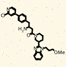 COCCCn1c(C2CCCN(C(=O)CC(N)Cc3ccc(-c4ccnc(Cl)c4)cc3)C2)nc2ccccc21